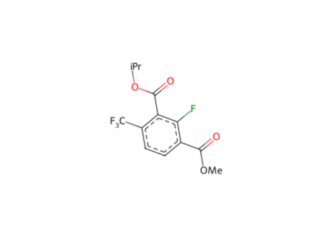 COC(=O)c1ccc(C(F)(F)F)c(C(=O)OC(C)C)c1F